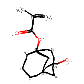 C=C(C)C(=O)OC12CCCC3(C1)CC3(O)C2